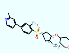 Cc1cc(-c2ccc(S(=O)(=O)[C@@H]3C[C@H](OC4CCOCC4)[C@@H](C(=O)O)C3)c(C(F)(F)F)c2)ccn1